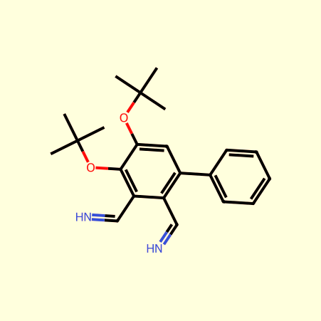 CC(C)(C)Oc1cc(-c2ccccc2)c(C=N)c(C=N)c1OC(C)(C)C